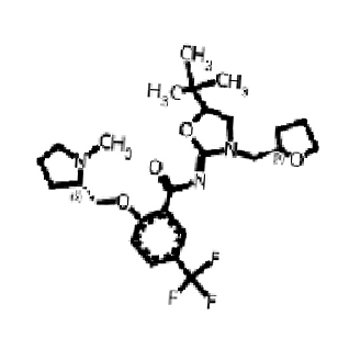 CN1CCC[C@H]1COc1ccc(C(F)(F)F)cc1C(=O)N=C1OC(C(C)(C)C)CN1C[C@H]1CCCO1